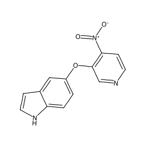 O=[N+]([O-])c1ccncc1Oc1ccc2[nH]ccc2c1